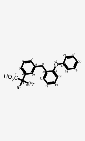 CC(C)C(F)(C(=O)O)c1cccc(Cc2ccccc2Oc2ccccc2)c1